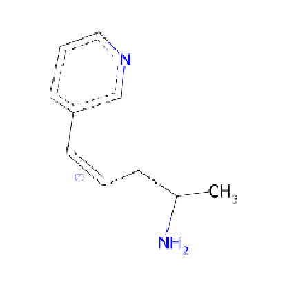 CC(N)C/C=C\c1cccnc1